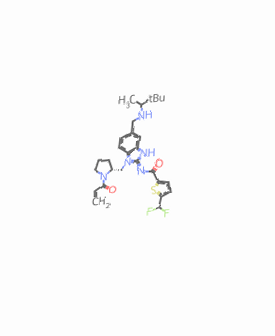 C=CC(=O)N1CCC[C@@H]1Cn1/c(=N/C(=O)c2ccc(C(F)F)s2)[nH]c2cc(CNC(C)C(C)(C)C)ccc21